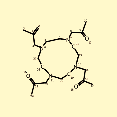 C=C(C)CN1CCN(CC(C)=O)CCN(CC(C)=O)CCN(CC(C)=O)CC1